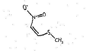 CS/C=C\[N+](=O)[O-]